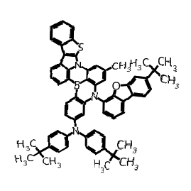 Cc1cc2c3c(c1)-n1c4sc5ccccc5c4c4cccc(c41)B3c1ccc(N(c3ccc(C(C)(C)C)cc3)c3ccc(C(C)(C)C)cc3)cc1N2c1cccc2c1oc1cc(C(C)(C)C)ccc12